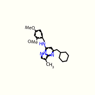 COc1ccc(CNc2cc(CC3CCCCC3)nc3c(C)cnn23)c(OC)c1